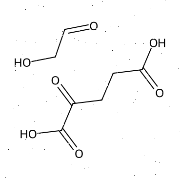 O=C(O)CCC(=O)C(=O)O.O=CCO